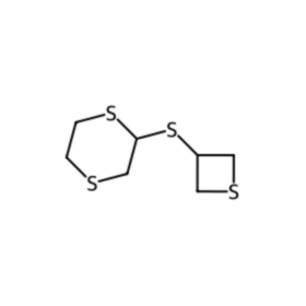 C1CSC(SC2CSC2)CS1